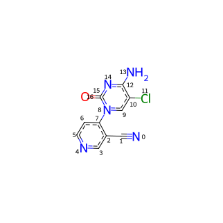 N#Cc1cnccc1-n1cc(Cl)c(N)nc1=O